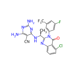 C[C@H](Nc1nc(N)nc(N)c1C#N)c1nc2cccc(Cl)c2c(=O)n1-c1cc(F)cc(C(F)(F)F)c1